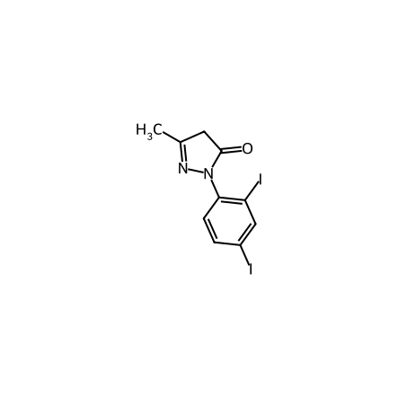 CC1=NN(c2ccc(I)cc2I)C(=O)C1